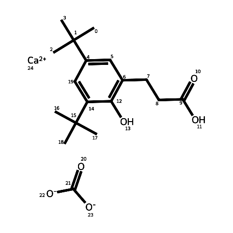 CC(C)(C)c1cc(CCC(=O)O)c(O)c(C(C)(C)C)c1.O=C([O-])[O-].[Ca+2]